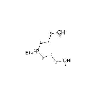 CCP(CCCO)CCCO